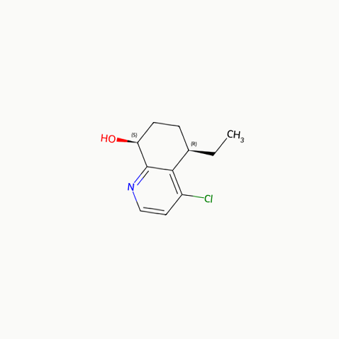 CC[C@@H]1CC[C@H](O)c2nccc(Cl)c21